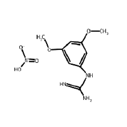 COc1cc(NC(=N)N)cc(OC)c1.O=[N+]([O-])O